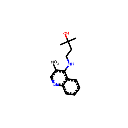 CC(C)(O)CCNc1c([N+](=O)[O-])cnc2ccccc12